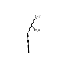 C#CC#CC#CC#COCCC(CCCOS(=O)(=O)O)OS(=O)(=O)O